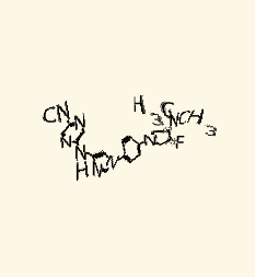 CN(C)[C@H]1CN(c2ccc(-n3cnc(Nc4cnc(C#N)cn4)c3)cc2)C[C@H]1F